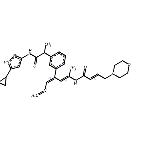 C=N/C=C(\C=C(/C)NC(=O)/C=C/CN1CCOCC1)c1cccc(C(C)C(=O)Nc2cc(C3CC3)[nH]n2)c1